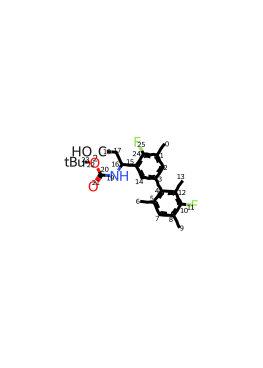 Cc1cc(-c2c(C)cc(C)c(F)c2C)cc(C(CC(=O)O)NC(=O)OC(C)(C)C)c1F